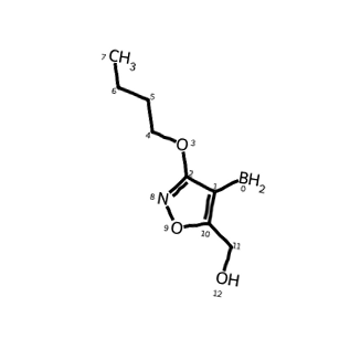 Bc1c(OCCCC)noc1CO